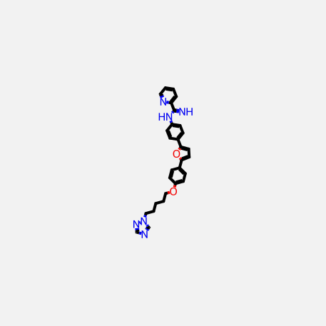 N=C(Nc1ccc(-c2ccc(-c3ccc(OCCCCCn4cncn4)cc3)o2)cc1)c1ccccn1